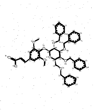 COc1cc(/C=C/C(=O)Cl)cc(OC)c1O[C@@H]1O[C@H](COCc2ccccc2)[C@H](OCc2ccccc2)[C@H](OCc2ccccc2)[C@H]1OCc1ccccc1